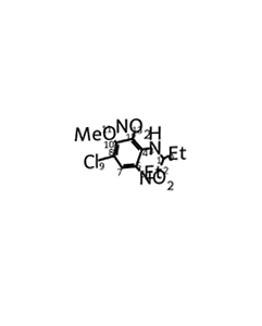 CCC(CC)Nc1c([N+](=O)[O-])cc(Cl)c(OC)c1[N+](=O)[O-]